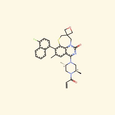 C=CC(=O)N1C[C@H](C)N(c2nc(=O)n3c4c(c(-c5ccc(F)c6ccccc56)c(C)cc24)SCC2(COC2)C3)C[C@H]1C